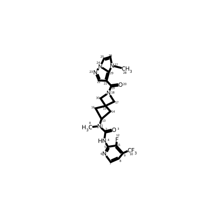 CN(C(=O)Nc1nccc(C(F)(F)F)c1F)C1CC2(C1)CN(C(=O)c1cnn3ccn(C)c13)C2